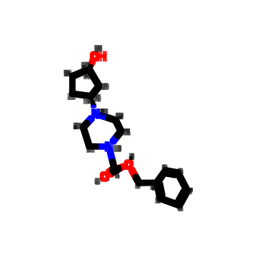 O=C(OCc1ccccc1)N1CCN([C@@H]2CC[C@@H](O)C2)CC1